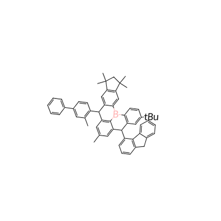 Cc1cc2c3c(c1)C(c1cccc4c1-c1ccccc1C4)c1cc(C(C)(C)C)ccc1B3c1cc3c(cc1C2c1ccc(-c2ccccc2)cc1C)C(C)(C)CC3(C)C